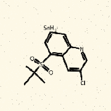 CC(C)(C)S(=O)(=O)c1cccc2ncc(Cl)cc12.[SnH2]